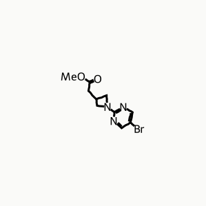 COC(=O)CC1CN(c2ncc(Br)cn2)C1